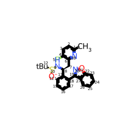 Cc1ccc(F)c(C[C@H](N[S@@+]([O-])C(C)(C)C)c2ccccc2-c2noc3ccccc23)n1